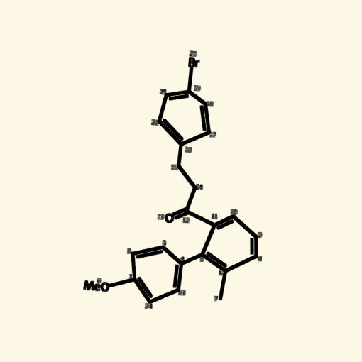 COc1ccc(-c2c(C)cccc2C(=O)CCc2ccc(Br)cc2)cc1